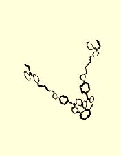 C=CC(=O)OCCCCOc1ccc(C(=O)Oc2cccc(C)c2OC(=O)c2ccc(OCCCCOC(=O)C=C)cc2)cc1